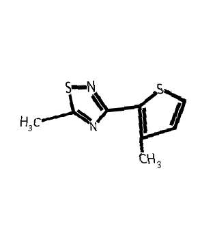 Cc1nc(-c2sccc2C)ns1